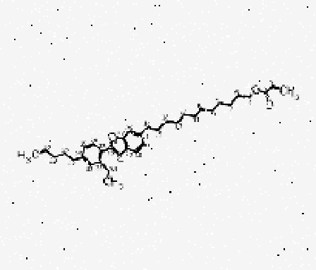 C=CC(=O)OCCCCCCCCCCCCc1ccc2cc(-c3ccc(CCCCC)cc3CC)oc2c1